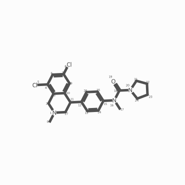 CN1Cc2c(Cl)cc(Cl)cc2C(c2ccc(N(C)C(=O)N3CCCC3)cc2)C1